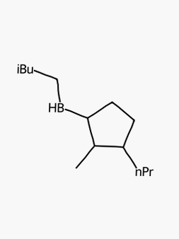 CCCC1CCC(BCC(C)CC)C1C